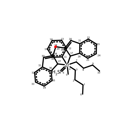 CCC[CH2][Zr]([CH3])(=[SiH2])([CH2]CCC)([c]1ccccc1)([CH]1C(C)=Cc2ccccc21)[CH]1C(C)=Cc2ccccc21